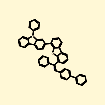 C(=C(\c1ccccc1)c1cccc2c1oc1c(-c3ccc4c5ccccc5n(-c5ccccc5)c4c3)cccc12)/c1ccc(-c2ccccc2)cc1